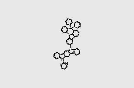 c1ccc(C2(c3ccccc3)c3ccccc3-n3c4ccc(-n5c6ccccc6c6cc7c(cc65)c5ccccc5n7-c5ccccn5)cc4c4cccc2c43)cc1